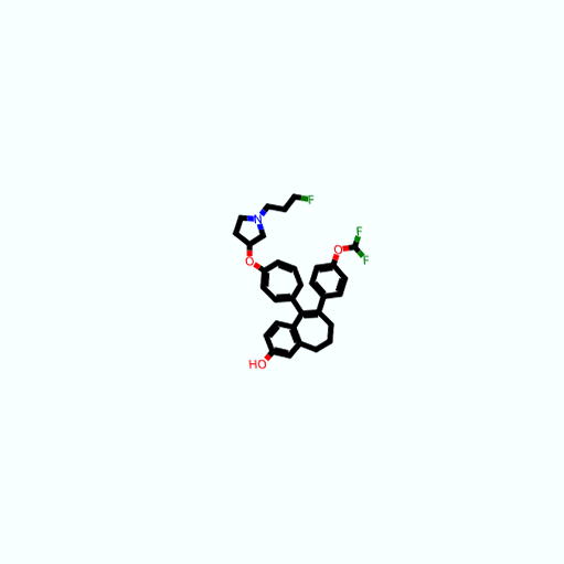 Oc1ccc2c(c1)CCCC(c1ccc(OC(F)F)cc1)=C2C1=CC=C(OC2CCN(CCCF)C2)C=CC1